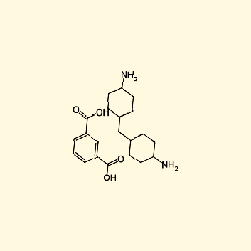 NC1CCC(CC2CCC(N)CC2)CC1.O=C(O)c1cccc(C(=O)O)c1